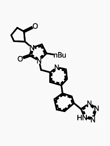 CCCCc1cn(C2CCCC2=O)c(=O)n1Cc1cc(-c2cccc(-c3nnn[nH]3)c2)ccn1